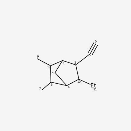 C#CC1C2CC(C(C)C2C)C1CC